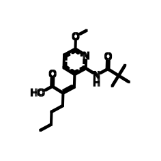 CCCCC(=Cc1ccc(OC)nc1NC(=O)C(C)(C)C)C(=O)O